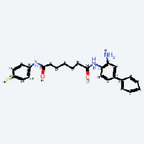 Nc1cc(-c2ccccc2)ccc1NC(=O)CCCCCC(=O)Nc1ccc(F)cc1